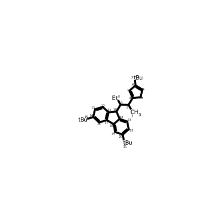 CCC(C(C)C1=CC(C(C)(C)C)=CC1)C1c2ccc(C(C)(C)C)cc2-c2cc(C(C)(C)C)ccc21